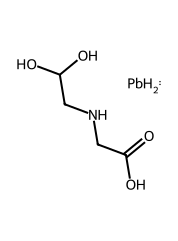 O=C(O)CNCC(O)O.[PbH2]